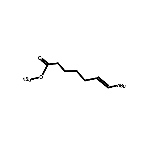 CCCCC=CCCCCC(=O)OCCCC